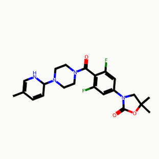 CC1=CNC(N2CCN(C(=O)c3c(F)cc(N4CC(C)(C)OC4=O)cc3F)CC2)C=C1